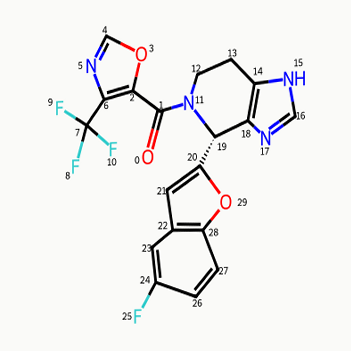 O=C(c1ocnc1C(F)(F)F)N1CCc2[nH]cnc2[C@@H]1c1cc2cc(F)ccc2o1